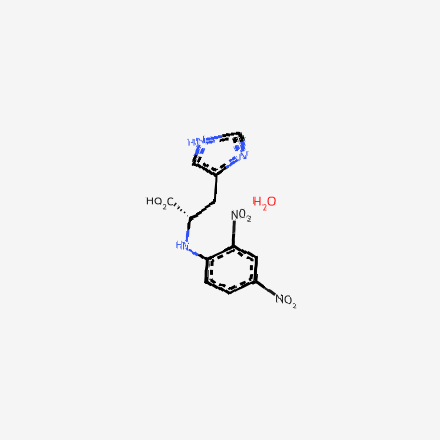 O.O=C(O)[C@H](Cc1c[nH]cn1)Nc1ccc([N+](=O)[O-])cc1[N+](=O)[O-]